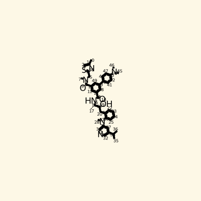 Cc1csc(CN(C)C(=O)c2cc(C(=O)N[C@@H](C)[C@H](O)Cc3ccccc3N(C)c3cncc(C(C)C)c3)cc(-c3ccc(N(C)C)cc3)c2)n1